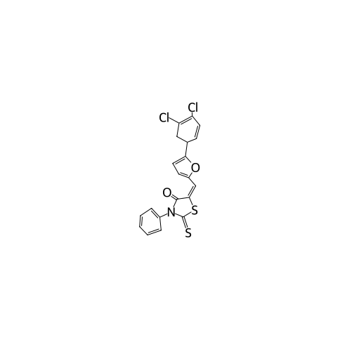 O=C1/C(=C\c2ccc(C3C=CC(Cl)=C(Cl)C3)o2)SC(=S)N1c1ccccc1